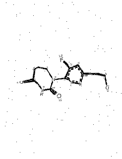 O=C1CCN(c2nnc(CCl)cc2F)C(=O)N1